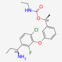 CCNC(=O)O[C@@H](C)c1cccc(Oc2c(Cl)ccc([C@@H](N)CC)c2F)c1